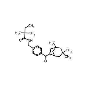 CCC(C)(C)C(=O)NCc1ccc(C(=O)N2CC3(C)CC2CC(C)(C)C3)cc1